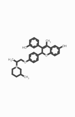 CC1=C(c2cccc(O)c2)C(c2ccc(OCC(C)N3CCCC(C)C3)cc2)Oc2ccc(O)cc21